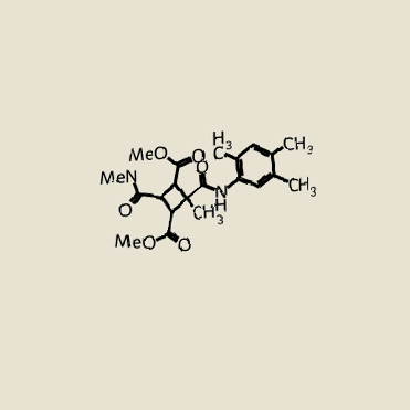 CNC(=O)C1C(C(=O)OC)C(C)(C(=O)Nc2cc(C)c(C)cc2C)C1C(=O)OC